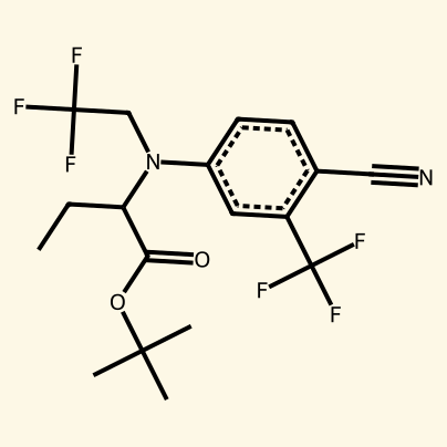 CCC(C(=O)OC(C)(C)C)N(CC(F)(F)F)c1ccc(C#N)c(C(F)(F)F)c1